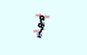 C=C1/C(=C\C=C2/CCC[C@]3(C)[C@@H]([C@H](C)CC[C@H](O)c4nc(C)cs4)CC[C@@H]23)C[C@@H](O)C[C@@H]1O